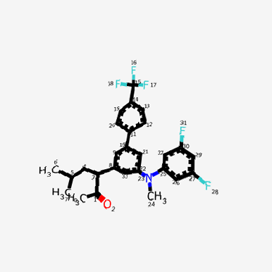 CC(=O)C(CC(C)C)c1cc(-c2ccc(C(F)(F)F)cc2)cc(N(C)c2cc(F)cc(F)c2)c1